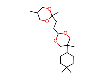 CC1COC(C)(CCC2OCC(C)(C3CCC(C)(C)CC3)CO2)OC1